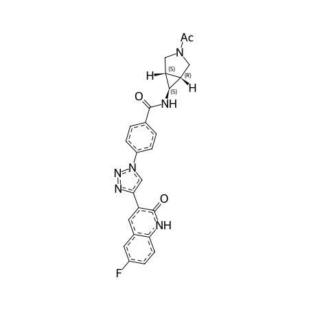 CC(=O)N1C[C@@H]2[C@H](C1)[C@H]2NC(=O)c1ccc(-n2cc(-c3cc4cc(F)ccc4[nH]c3=O)nn2)cc1